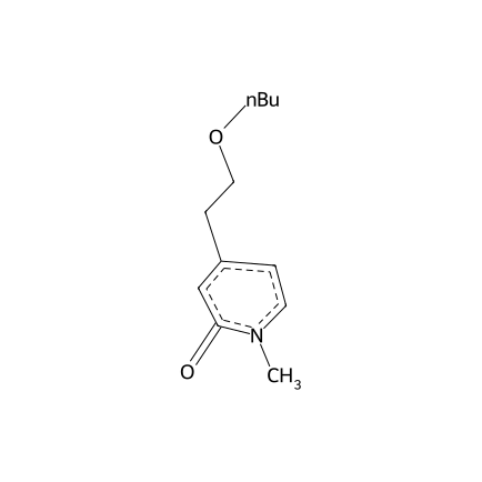 CCCCOCCc1ccn(C)c(=O)c1